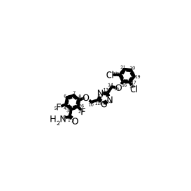 NC(=O)c1c(F)ccc(OCc2nc(COc3c(Cl)cccc3Cl)no2)c1F